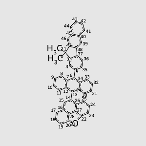 CC1(C)c2cc(-c3c4ccccc4c(-c4cc5cccc6oc7cccc4c7c56)c4ccccc34)ccc2-c2cc3ccccc3cc21